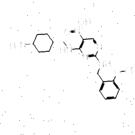 N[C@H]1CC[C@H](CNc2nc(NCc3ccccc3OC(F)(F)F)ncc2[N+](=O)O)CC1